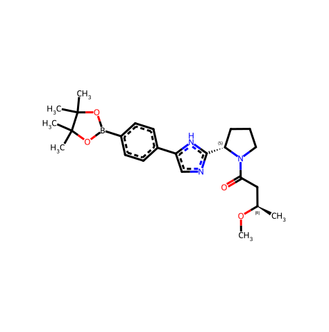 CO[C@H](C)CC(=O)N1CCC[C@H]1c1ncc(-c2ccc(B3OC(C)(C)C(C)(C)O3)cc2)[nH]1